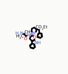 CCOC(=O)C1(Cc2ccccc2)CCCN(C(=O)C(Cc2c[nH]c3ccccc23)NC(=O)C(C)(C)N)C1